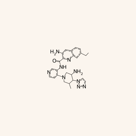 CCc1ccc2cc(N)c(C(=O)Nc3cnccc3N3CC(C)C(n4ccnn4)C(N)C3)nc2c1